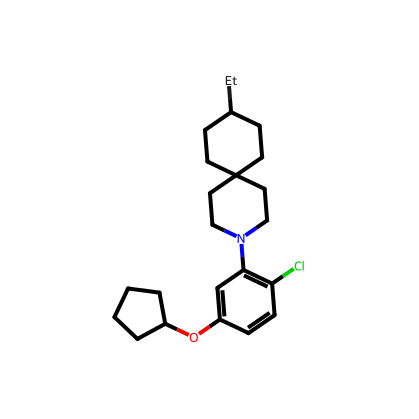 CCC1CCC2(CC1)CCN(c1cc(OC3CCCC3)ccc1Cl)CC2